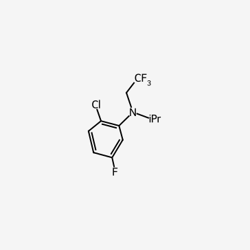 CC(C)N(CC(F)(F)F)c1cc(F)ccc1Cl